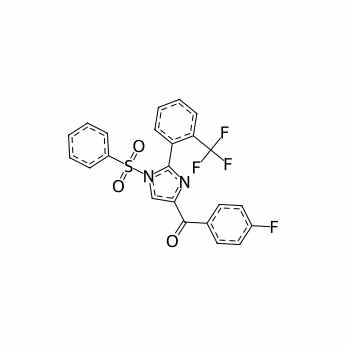 O=C(c1ccc(F)cc1)c1cn(S(=O)(=O)c2ccccc2)c(-c2ccccc2C(F)(F)F)n1